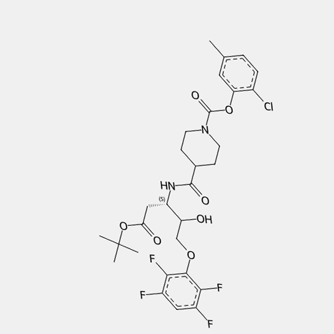 Cc1ccc(Cl)c(OC(=O)N2CCC(C(=O)N[C@@H](CC(=O)OC(C)(C)C)C(O)COc3c(F)c(F)cc(F)c3F)CC2)c1